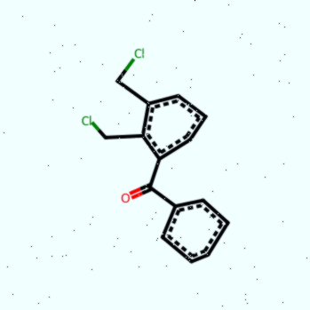 O=C(c1ccccc1)c1cccc(CCl)c1CCl